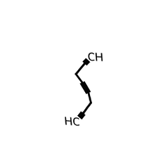 C#CCC#CCC#C